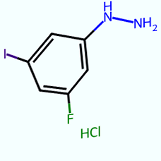 Cl.NNc1cc(F)cc(I)c1